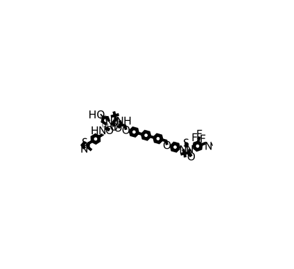 CN=Cc1ccc(N2C(=O)C(C)(C)N(c3ccc(OCc4ccc(-c5ccc(-c6ccc(OCC(=O)N[C@H](C(=O)N7C[C@H](O)C[C@H]7C(=O)NCc7ccc(-c8scnc8C)cc7)C(C)(C)C)cc6)cc5)cc4)cc3)C2=S)cc1C(F)(F)F